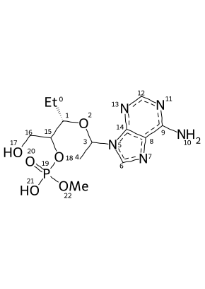 CC[C@H](OC(C)n1cnc2c(N)ncnc21)C(CO)OP(=O)(O)OC